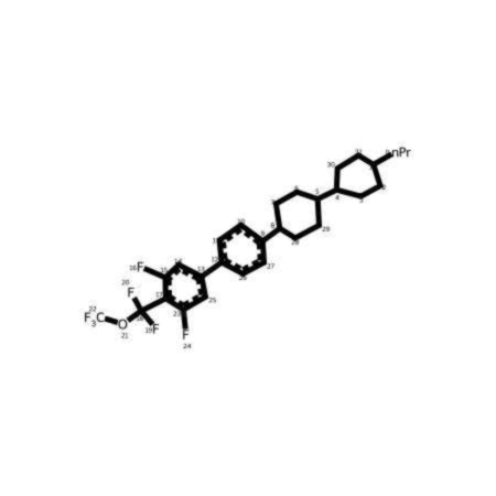 CCCC1CCC(C2CCC(c3ccc(-c4cc(F)c(C(F)(F)OC(F)(F)F)c(F)c4)cc3)CC2)CC1